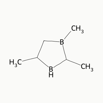 CB1CC(C)BC1C